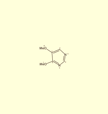 COc1cncnc1OC